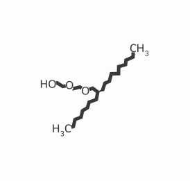 CCCCCCCCCC[C@@H](CCCCCCCC)COCCOCCO